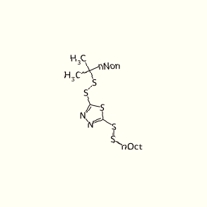 CCCCCCCCCC(C)(C)SSc1nnc(SSCCCCCCCC)s1